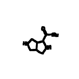 CC(C)(C)C(=O)C1NCC2CNCC21